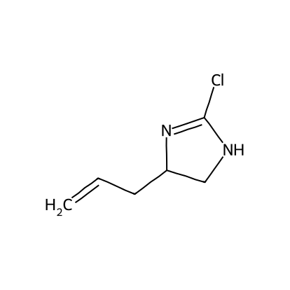 C=CCC1CNC(Cl)=N1